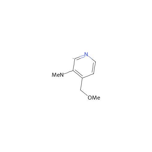 CNc1[c]nccc1COC